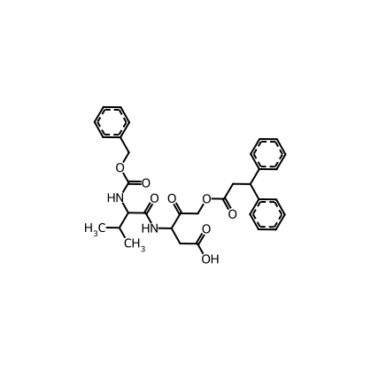 CC(C)C(NC(=O)OCc1ccccc1)C(=O)NC(CC(=O)O)C(=O)COC(=O)CC(c1ccccc1)c1ccccc1